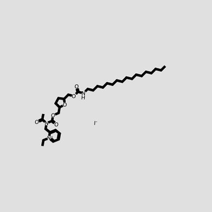 CCCCCCCCCCCCCCCCCNC(=O)OCC1CCC(COC(=O)N(Cc2cccc[n+]2CC)C(C)=O)O1.[I-]